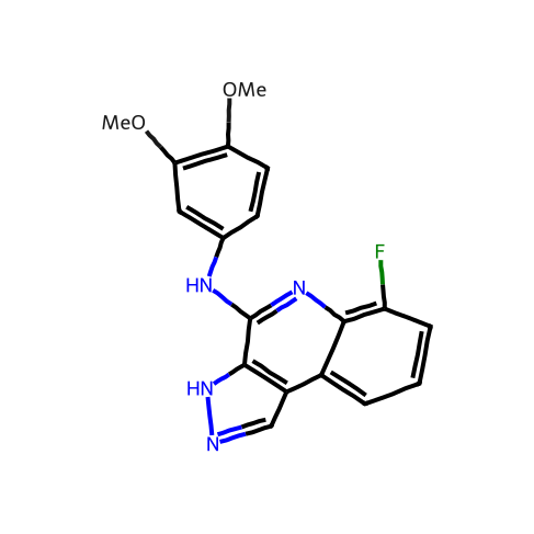 COc1ccc(Nc2nc3c(F)cccc3c3cn[nH]c23)cc1OC